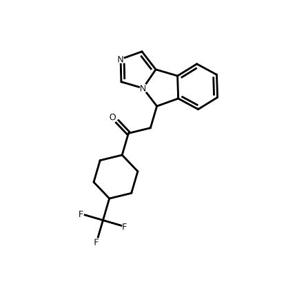 O=C(CC1c2ccccc2-c2cncn21)C1CCC(C(F)(F)F)CC1